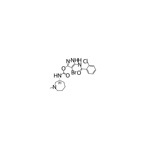 CN1CCCC[C@@H](NC(=O)Oc2n[nH]c(NC(=O)c3ccccc3Cl)c2Br)C1